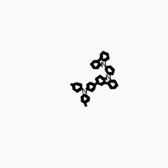 Cc1ccc(N(c2ccc(C)cc2)c2ccc(-c3ccc4c(c3)c3ccccc3n4-c3cccc(-n4c5ccccc5c5ccccc54)c3)cc2)cc1